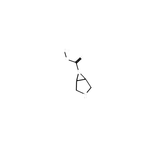 CC(C)(C)OC(=O)N1C2CNCC21